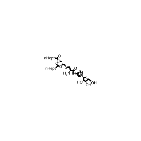 CCCCCCCC(=O)OC[C@H](CSC[C@@H](N)C(=O)Nc1cn([C@H]2OC(CO)[C@@H](O)[C@@H]2O)nn1)OC(=O)CCCCCCC